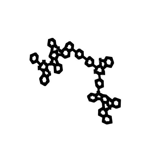 c1ccc(-c2nc(-n3c4ccccc4c4c5c6ccc7c(-c8ccc(-c9ccc(-c%10nc(-c%11ccc(-n%12c%13ccccc%13c%13c%14c%15ccc%16ccccc%16c%15n%15c%16ccccc%16c(cc%13%12)c%14%15)cc%11)nc%11c%10sc%10ccccc%10%11)cc9)cc8)cccc7c6n6c7ccccc7c(cc43)c56)c3sc4ccccc4c3n2)cc1